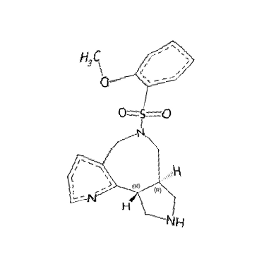 COc1ccccc1S(=O)(=O)N1Cc2cccnc2[C@H]2CNC[C@@H]2C1